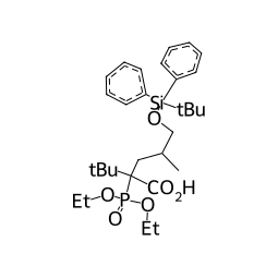 CCOP(=O)(OCC)C(CC(C)CO[Si](c1ccccc1)(c1ccccc1)C(C)(C)C)(C(=O)O)C(C)(C)C